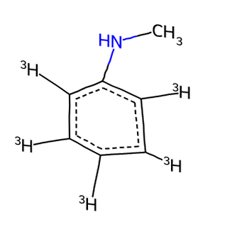 [3H]c1c([3H])c([3H])c(NC)c([3H])c1[3H]